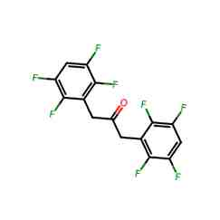 O=C(Cc1c(F)c(F)cc(F)c1F)Cc1c(F)c(F)cc(F)c1F